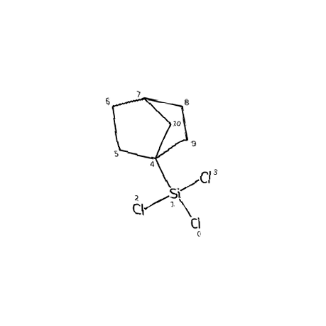 Cl[Si](Cl)(Cl)C12CCC(CC1)C2